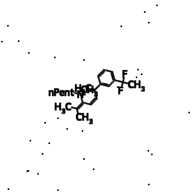 C=C(/C=C\C(=C(C)C)N(C)CCCCC)c1cccc(C(C)(F)F)c1